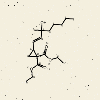 CCCCCC(C)(O)/C=C/C1CC1(C(=O)OCC)C(=O)OCC